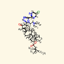 CC(C)C1=C2[C@H]3CC[C@@H]4[C@@]5(C)CC[C@H](OC(=O)CC(C)(C)C(=O)O)C(C)(C)[C@@H]5CC[C@@]4(C)[C@]3(C)CC[C@@]2(c2nnc(-c3ncc(Cl)cn3)n2CCN(C)C)CC1=O